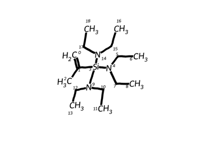 C=C(C)[Si](N(CC)CC)(N(CC)CC)N(CC)CC